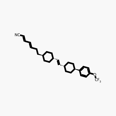 N#CC=CC=CCC[C@H]1CC[C@H](C=C[C@H]2CC[C@H](c3ccc(OC(F)(F)F)cc3)CC2)CC1